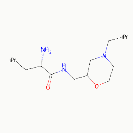 CC(C)C[C@H](N)C(=O)NCC1CN(CC(C)C)CCO1